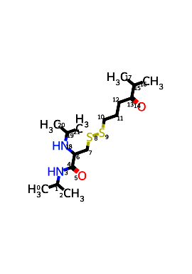 CC(C)NC(=O)C(CSSCCCC(=O)C(C)C)NC(C)C